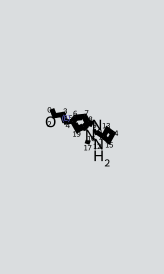 CC(=O)/C=C/c1ccc2nc(C3(N)CCC3)n(C)c2c1